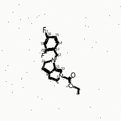 CCOC(=O)N1C=CC2=CCN(Cc3ccc(F)cc3F)C2=C1